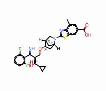 Cc1cc(C(=O)O)cc2sc(N3C[C@@H]4C[C@H]3C[C@H]4OC/C(C(=N)c3c(Cl)cccc3Cl)=C(/O)C3CC3)nc12